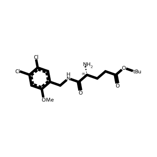 COc1cc(Cl)c(Cl)cc1CNC(=O)[C@H](N)CCC(=O)OC(C)(C)C